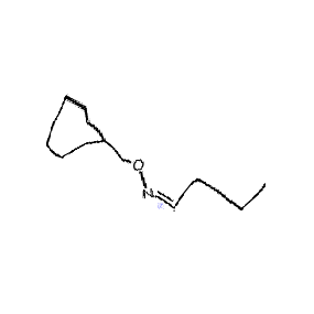 CCC/[C]=N\OC1CCCC1